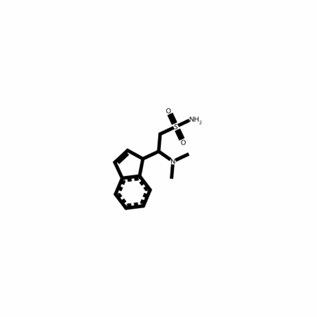 CN(C)C(CS(N)(=O)=O)C1C=Cc2ccccc21